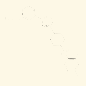 COc1cccc(-c2csc(N3CCN(S(=O)(=O)c4cc(C)c(Cl)cc4Cl)CC3)n2)c1